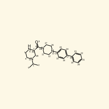 CC(C)N1CCN[C@@H](C(=O)N2CCN(c3ccc(-c4ccccc4)cc3)CC2)C1